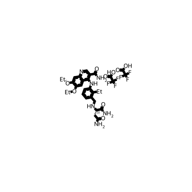 CCOc1cc2ncc(C(N)=O)c(Nc3cccc(CN[C@@H](CC(N)=O)C(N)=O)c3CC)c2cc1OCC.O=C(O)C(F)(F)F.O=C(O)C(F)(F)F